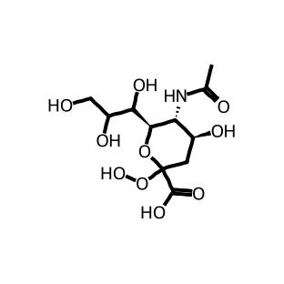 CC(=O)N[C@@H]1[C@@H](O)CC(OO)(C(=O)O)O[C@H]1C(O)C(O)CO